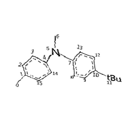 Cc1ccc(N(I)c2ccc(C(C)(C)C)cc2)cc1